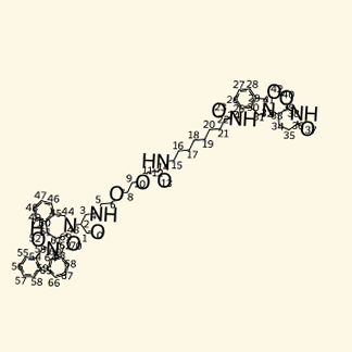 O=CC(CNCCOCCOCC(=O)NCCCCCCCC(=O)Nc1cccc2c1CN(C1CCC(=O)NC1=O)C2=O)N1Cc2ccccc2[C@@H]2OC(c3ccccc3)=N[C@]2(Cc2ccccc2)C1=O